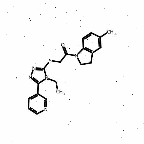 CCn1c(SCC(=O)N2CCc3cc(C)ccc32)nnc1-c1cccnc1